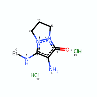 CCNc1c(N)c(=O)n2n1CCC2.Cl.Cl